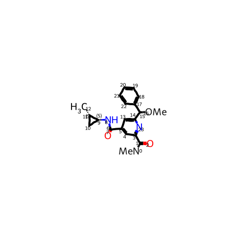 CNC(=O)c1cc(C(=O)N[C@H]2C[C@@H]2C)cc(C(OC)c2ccccc2)n1